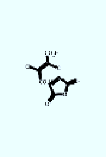 O=C(O)C(Cl)=C(Cl)C(=O)O.O=C1C=CC(=O)O1